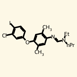 CCCN(C=Nc1cc(C)c(Oc2ccc(I)c(Cl)c2)cc1C)CC